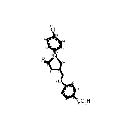 O=C(O)c1ccc(OCC2CC(=O)N(c3ccc(Cl)cc3)C2)cc1